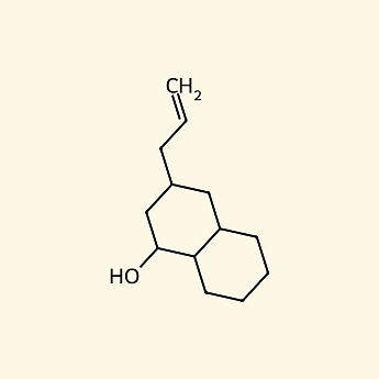 C=CCC1CC(O)C2CCCCC2C1